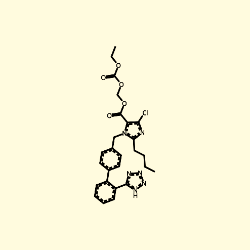 CCCCc1nc(Cl)c(C(=O)OCOC(=O)OCC)n1Cc1ccc(-c2ccccc2-c2nnn[nH]2)cc1